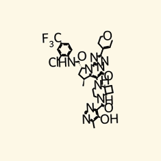 Cc1ncnc(C(=O)N2CCN(c3c4n(c5nc(C6=CCOCC6)nn5c3=O)[C@@H](C(=O)Nc3ccc(C(F)(F)F)cc3Cl)C[C@@H]4C)[C@H]3CC[C@@H]32)c1O